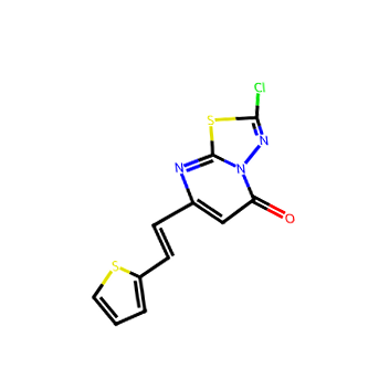 O=c1cc(/C=C/c2cccs2)nc2sc(Cl)nn12